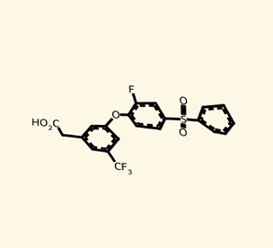 O=C(O)Cc1cc(Oc2ccc(S(=O)(=O)c3ccccc3)cc2F)cc(C(F)(F)F)c1